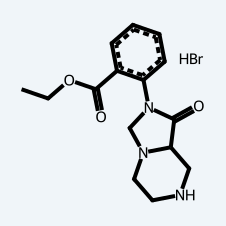 Br.CCOC(=O)c1ccccc1N1CN2CCNCC2C1=O